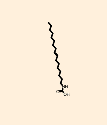 CCCCCCCCC=CCCCCCCCNC(=O)O